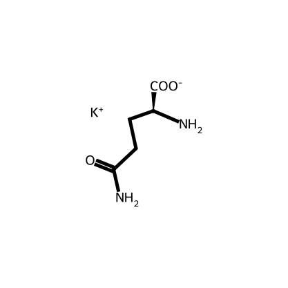 NC(=O)CC[C@H](N)C(=O)[O-].[K+]